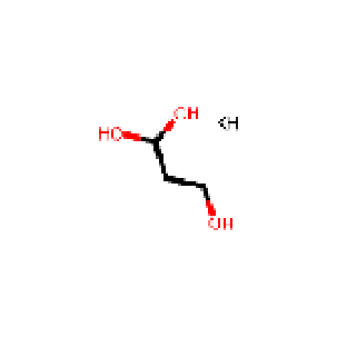 OCCC(O)O.[KH]